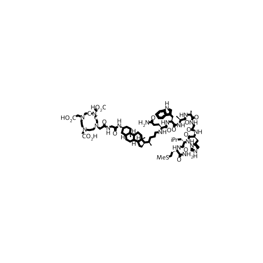 CSCC[C@H](NC(=O)[C@H](CC(C)C)NC(=O)[C@H](Cc1c[nH]cn1)NC(=O)CNC(=O)[C@H](C)NC(=O)[C@H](C)NC(=O)[C@H](Cc1c[nH]c2ccccc12)NC(=O)[C@H](CCC(N)=O)NCCC[C@@H](C)[C@H]1CC[C@H]2[C@@H]3CC[C@@H]4C[C@@H](NC(=O)CNC(=O)CN5CCN(CC(=O)O)CCN(CC(=O)O)CCN(CC(=O)O)CC5)CC[C@]4(C)[C@H]3CC[C@]12C)C(N)=O